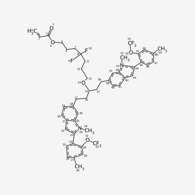 C=CC(=O)OCCCC(F)(F)CCCOC(CCc1ccc2cc(-c3ccc(C)cc3OC(F)(F)F)n(C)c2c1)CCc1ccc2cc(-c3ccc(C)cc3OC(F)(F)F)n(C)c2c1